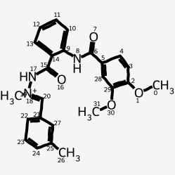 COc1ccc(C(=O)Nc2ccccc2C(=O)N[N+](C)=Cc2cccc(C)c2)cc1OC